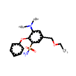 CCCCN(CCCC)c1cc(COCC(F)(F)F)cc(S(N)(=O)=O)c1Oc1ccccc1